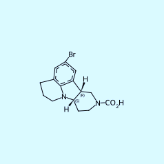 O=C(O)N1CC[C@H]2[C@@H](C1)c1cc(Br)cc3c1N2CCC3